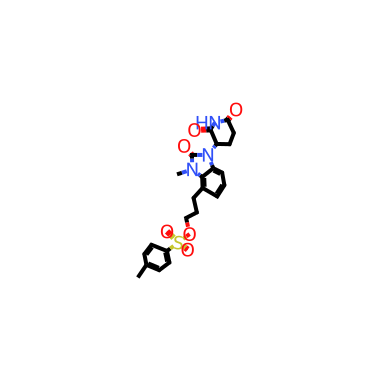 Cc1ccc(S(=O)(=O)OCCCc2cccc3c2n(C)c(=O)n3C2CCC(=O)NC2=O)cc1